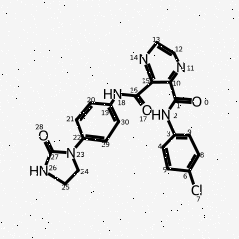 O=C(Nc1ccc(Cl)cc1)c1nccnc1C(=O)Nc1ccc(N2CCNC2=O)cc1